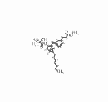 CCCCCC=CC1[C@H]2C(Cc3cccc(CCC(=O)OC)c3)C(OC(=O)C(C)(C)C)C[C@@H]12